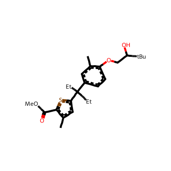 CCC(CC)(c1ccc(OCC(O)C(C)(C)C)c(C)c1)c1cc(C)c(C(=O)OC)s1